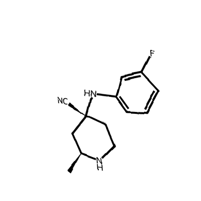 C[C@H]1C[C@](C#N)(Nc2cccc(F)c2)CCN1